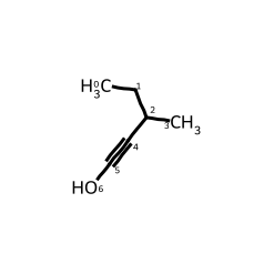 CCC(C)C#CO